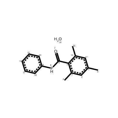 Cc1cc(C)c(C(=O)Pc2ccccc2)c(C)c1.O